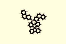 c1ccc(C2(c3ccccc3)c3ccccc3-c3c(N(c4ccc5c(ccc6ccccc65)c4)c4ccc5c(ccc6ccccc65)c4)cccc32)cc1